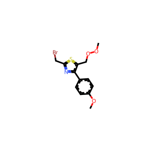 COOCc1sc(CBr)nc1-c1ccc(OC)cc1